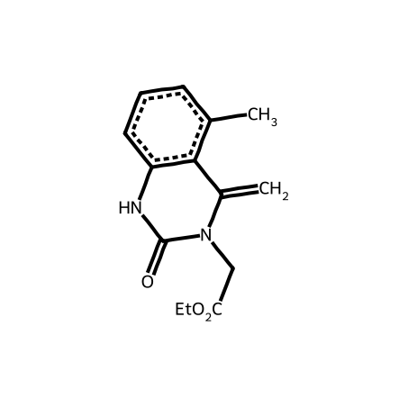 C=C1c2c(C)cccc2NC(=O)N1CC(=O)OCC